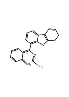 C=c1cccc/c1=C(/N=C/C)c1cccc2c3c(sc12)CCC=C3